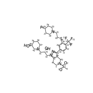 CS(=O)(=O)N1CCc2c(c(-c3ccc(C(F)(F)F)c(SCCN4CCC(F)CC4)c3)nn2C[C@@H](O)CN2CCC[C@H](O)C2)C1